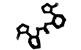 O=C(Oc1ccccc1C1CCCC1F)Oc1ccccc1C1CCCC1F